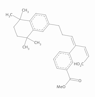 COC(=O)c1cccc(C(/C=C\C(=O)O)=C\CCc2ccc3c(c2)C(C)(C)CCC3(C)C)c1